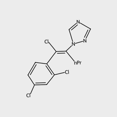 CCCC(=C(Cl)c1ccc(Cl)cc1Cl)n1cncn1